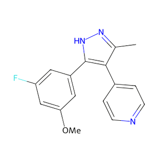 COc1cc(F)cc(-c2[nH]nc(C)c2-c2ccncc2)c1